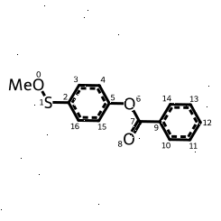 COSc1ccc(OC(=O)c2ccccc2)cc1